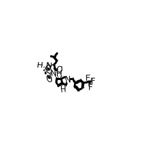 CC(C)C[C@H](N)C(=O)N([C@H]1CC[C@@H]2CN(Cc3cccc(C(F)(F)F)c3)C[C@@H]21)S(C)(=O)=O